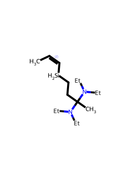 C/C=C\[SiH2]CCC(C)(N(CC)CC)N(CC)CC